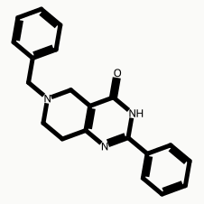 O=c1[nH]c(-c2ccccc2)nc2c1CN(Cc1ccccc1)CC2